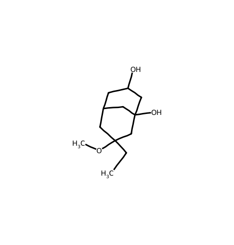 CCC1(OC)CC2CC(O)CC(O)(C2)C1